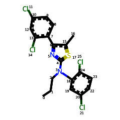 CCCN(c1nc(-c2ccc(Cl)cc2Cl)c(C)s1)c1cc(Cl)ccc1Cl